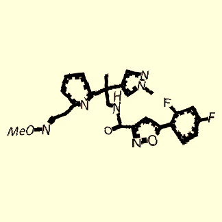 CON=CCc1cccc(C(C)(CNC(=O)c2cc(-c3ccc(F)cc3F)on2)c2cnn(C)c2)n1